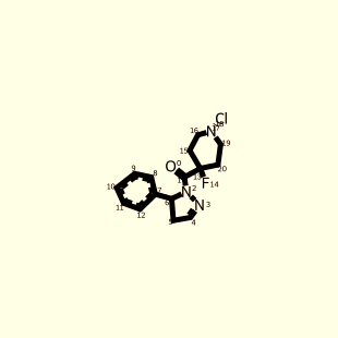 O=C(N1N=CCC1c1ccccc1)C1(F)CCN(Cl)CC1